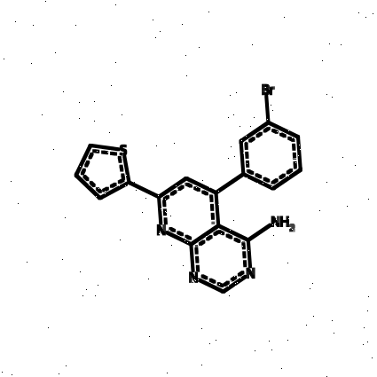 Nc1ncnc2nc(-c3cccs3)cc(-c3cccc(Br)c3)c12